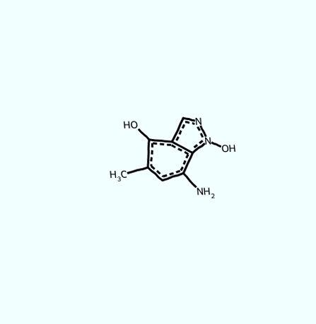 Cc1cc(N)c2c(cnn2O)c1O